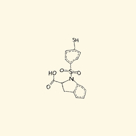 O=C(O)C1Cc2ccccc2N1S(=O)(=O)c1ccc(S)cc1